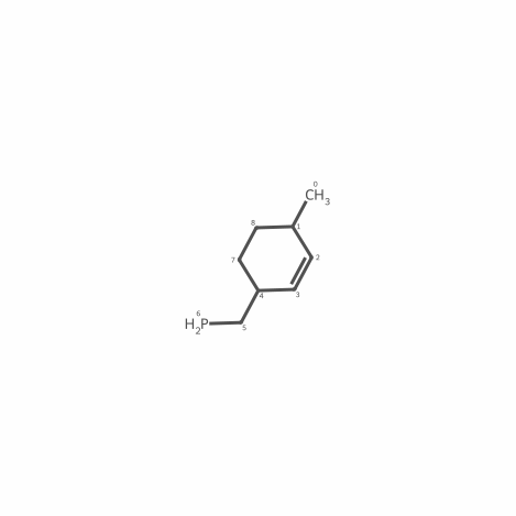 CC1C=CC(CP)CC1